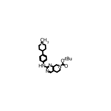 CN1CCC(c2ccc(Nc3ncc4c(n3)CN(C(=O)OC(C)(C)C)CC4)cc2)CC1